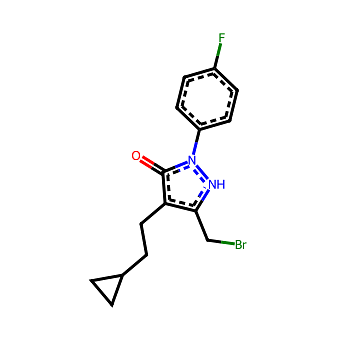 O=c1c(CCC2CC2)c(CBr)[nH]n1-c1ccc(F)cc1